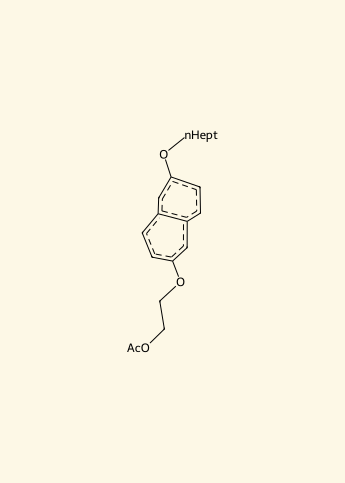 CCCCCCCOc1ccc2cc(OCCOC(C)=O)ccc2c1